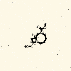 COC(=O)N1CCCCN2[C@H](CO)C[C@@H]2C1